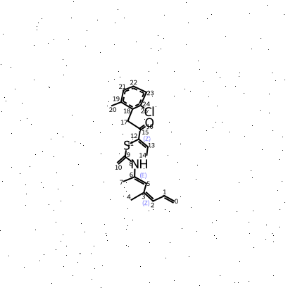 C=C/C=C(C)\C=C(/C)NC(=C)S/C(=C\C)C(=O)Cc1c(C)cccc1Cl